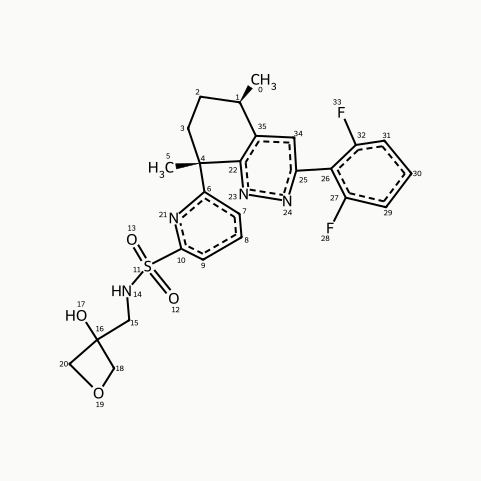 C[C@@H]1CC[C@@](C)(c2cccc(S(=O)(=O)NCC3(O)COC3)n2)c2nnc(-c3c(F)cccc3F)cc21